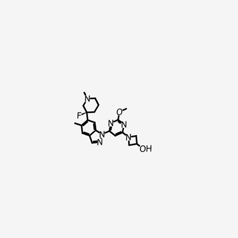 COc1nc(N2CC(O)C2)cc(-n2ncc3cc(C)c([C@@]4(F)CCCN(C)C4)cc32)n1